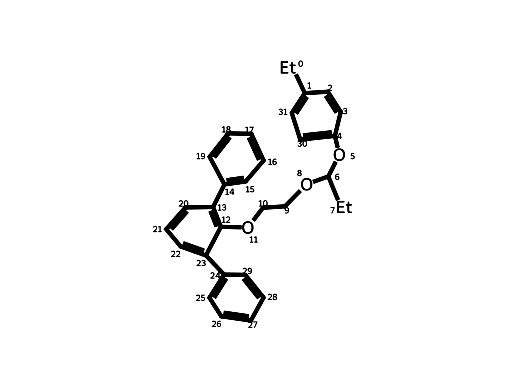 CCc1ccc(OC(CC)OCCOc2c(-c3ccccc3)cccc2-c2ccccc2)cc1